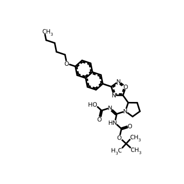 CCCCCOc1ccc2cc(-c3noc(C4CCCN4C(=NC(=O)O)NC(=O)OC(C)(C)C)n3)ccc2c1